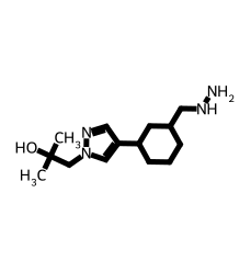 CC(C)(O)Cn1cc(C2CCCC(CNN)C2)cn1